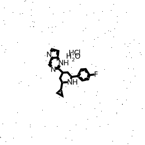 Cl.Fc1ccc(C2CC(c3ncc4nccc-4[nH]3)CC(C3CC3)N2)cc1.O